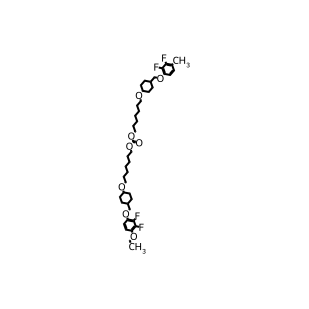 CCOc1ccc(OCC2CCC(OCCCCCCCOC(=O)OCCCCCCCOC3CCC(COc4ccc(C)c(F)c4F)CC3)CC2)c(F)c1F